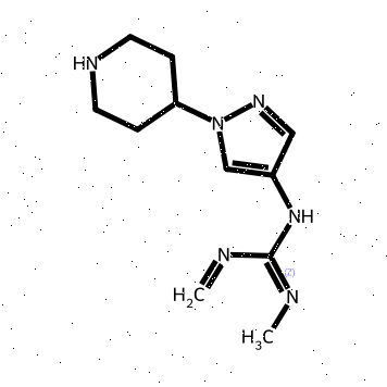 C=N/C(=N\C)Nc1cnn(C2CCNCC2)c1